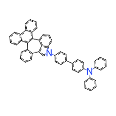 c1ccc(N(c2ccccc2)c2ccc(-c3ccc(-n4cc5c6c(cccc64)-c4c(c6ccccc6c6ccccc46)-c4ccccc4-5)cc3)cc2)cc1